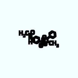 CC(=O)Nc1ccc(S(=O)(=O)OC(C)C(=O)c2ccccc2)cc1